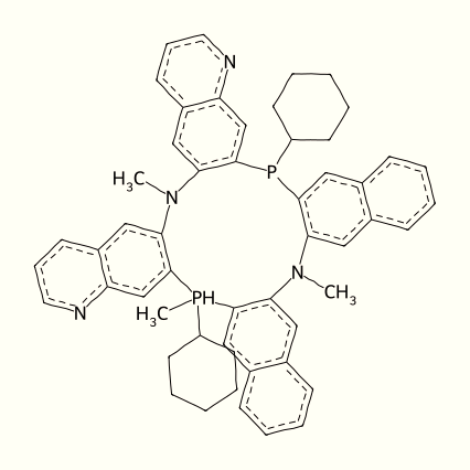 CN1c2cc3ccccc3cc2P(C2CCCCC2)c2cc3ncccc3cc2N(C)c2cc3cccnc3cc2[PH](C)(C2CCCCC2)c2cc3ccccc3cc21